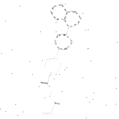 CNC(=O)COC(=O)N1CCN(c2ccc(-c3cccc4ccccc34)cc2)CC1